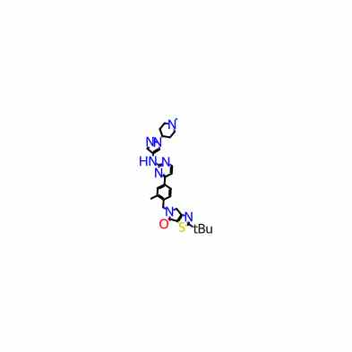 Cc1cc(-c2ccnc(Nc3cnn(C4CCN(C)CC4)c3)n2)ccc1CN1Cc2nc(C(C)(C)C)sc2C1=O